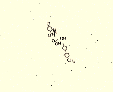 Cc1ccc(-c2ccc(CC[C@@H](O)[C@@H](CCn3nnc4cc(Cl)ccc4c3=O)C(=O)O)cc2)cc1